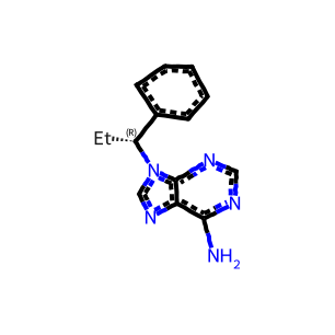 CC[C@H](c1ccccc1)n1cnc2c(N)ncnc21